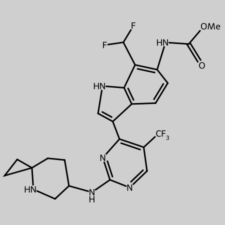 COC(=O)Nc1ccc2c(-c3nc(NC4CCC5(CC5)NC4)ncc3C(F)(F)F)c[nH]c2c1C(F)F